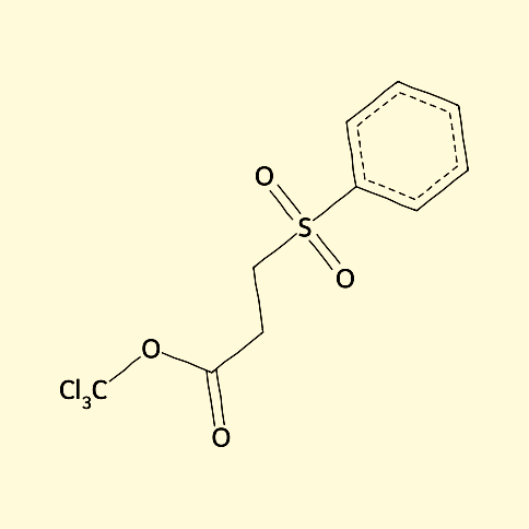 O=C(CCS(=O)(=O)c1ccccc1)OC(Cl)(Cl)Cl